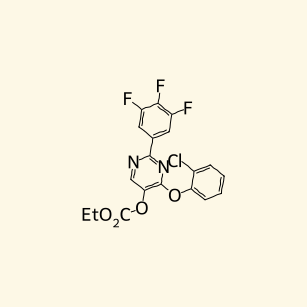 CCOC(=O)Oc1cnc(-c2cc(F)c(F)c(F)c2)nc1Oc1ccccc1Cl